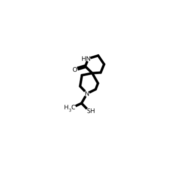 CC(S)N1CCC2(CCCNC2=O)CC1